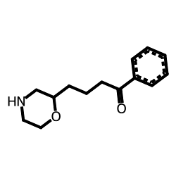 O=C(CCCC1CNCCO1)c1ccccc1